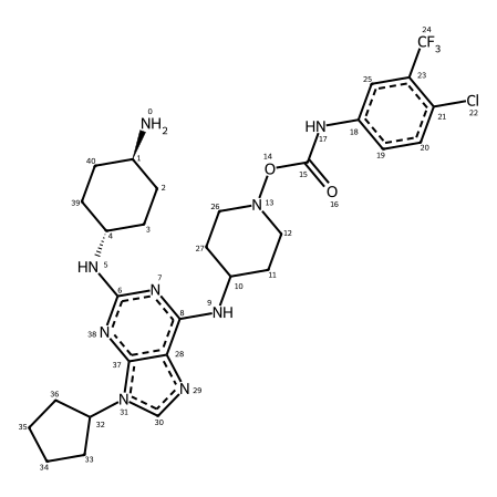 N[C@H]1CC[C@H](Nc2nc(NC3CCN(OC(=O)Nc4ccc(Cl)c(C(F)(F)F)c4)CC3)c3ncn(C4CCCC4)c3n2)CC1